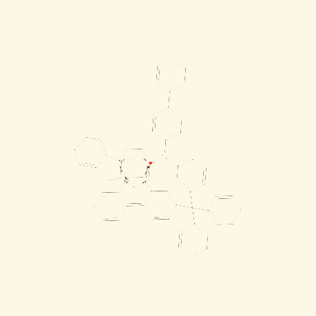 c1ccc(-c2ccc(N(c3ccc4c(c3)C3(c5ccccc5-4)c4ccccc4-c4cc5c6ccccc6c6ccccc6c5cc43)c3ccc4sc5ccccc5c4c3)cc2)cc1